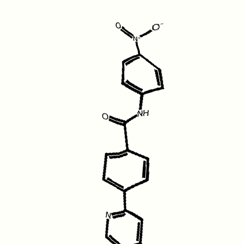 Cc1ccnc(-c2ccc(C(=O)Nc3ccc([N+](=O)[O-])cc3)cc2)c1